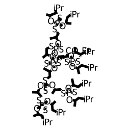 CCOC(=O)CCSP(=S)(OC(C)CSP(=S)(OC(C)CSP(=S)(OC(C)CC(C)C)OC(C)CC(C)C)OC(C)CSP(=S)(OC(C)CC(C)C)OC(C)CC(C)C)OC(C)CSP(=S)(OC(C)CSP(=S)(OC(C)CC(C)C)OC(C)CC(C)C)OC(C)CSP(=S)(OC(C)CC(C)C)OC(C)CC(C)C